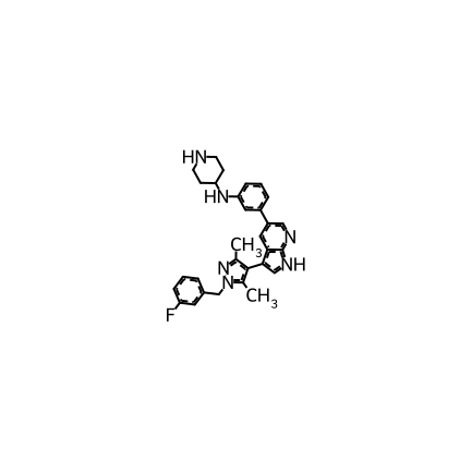 Cc1nn(Cc2cccc(F)c2)c(C)c1-c1c[nH]c2ncc(-c3cccc(NC4CCNCC4)c3)cc12